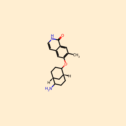 Cc1cc2c(=O)[nH]ccc2cc1OC1CC[C@@H]2C[C@H]1CCC2N